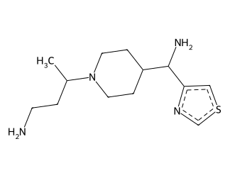 CC(CCN)N1CCC(C(N)c2cscn2)CC1